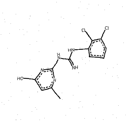 Cc1cc(O)nc(NC(=N)Nc2cccc(Cl)c2Cl)n1